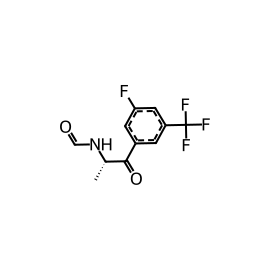 C[C@H](NC=O)C(=O)c1cc(F)cc(C(F)(F)F)c1